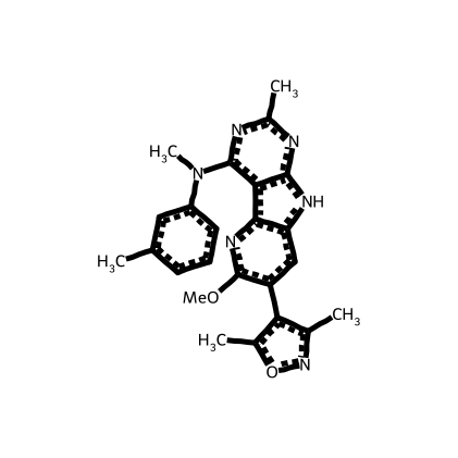 COc1nc2c(cc1-c1c(C)noc1C)[nH]c1nc(C)nc(N(C)c3cccc(C)c3)c12